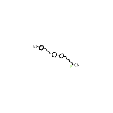 CCc1ccc(CCCC[C@H]2CC[C@H](C3CCC(CC/C=C/C=C(\F)C#N)CC3)CC2)cc1